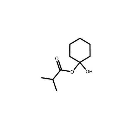 CC(C)C(=O)OC1(O)CCCCC1